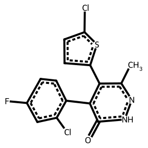 Cc1n[nH]c(=O)c(-c2ccc(F)cc2Cl)c1-c1ccc(Cl)s1